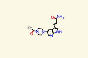 CC(C)C(=O)N1CCN(c2cnc3[nH]cc(C=CC(N)=O)c3c2)CC1